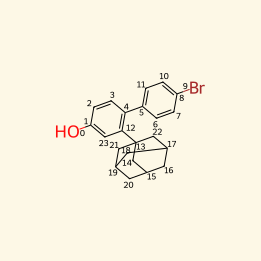 Oc1ccc(-c2ccc(Br)cc2)c(C23CC4CC(CC(C4)C2)C3)c1